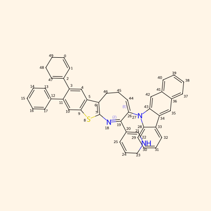 C1=CC(c2cc3c4c(sc3cc2-c2ccccc2)/N=C(C2=CNCC=C2)\C(n2c3ccccc3c3cc5ccccc5cc32)=C/CC4)=CCC1